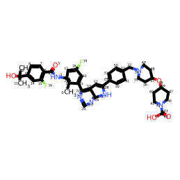 Cc1c(NC(=O)c2ccc(C(C)(C)O)cc2F)cc(F)cc1-c1ncnc2[nH]c(-c3ccc(CN4CCC(OC5CCN(C(=O)O)CC5)CC4)cc3)cc12